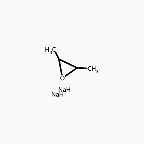 CC1OC1C.[NaH].[NaH]